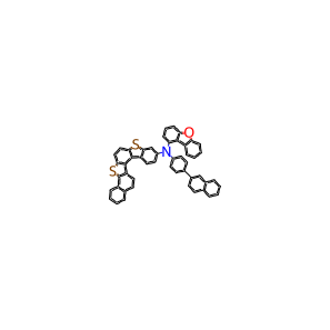 c1ccc2cc(-c3ccc(N(c4ccc5c(c4)sc4ccc6sc7c8ccccc8ccc7c6c45)c4cccc5oc6ccccc6c45)cc3)ccc2c1